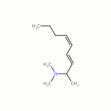 CCC/C=C\C=CC(C)N(C)C